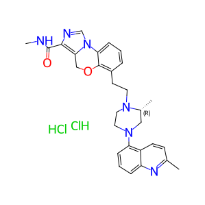 CNC(=O)c1ncn2c1COc1c(CCN3CCN(c4cccc5nc(C)ccc45)C[C@H]3C)cccc1-2.Cl.Cl